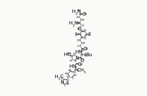 Cc1ncsc1-c1ccc([C@H](C)NC(=O)[C@@H]2C[C@@H](O)CN2C(=O)[C@@H](NC(=O)CCCc2cc(F)cc(OC[C@@H](N)CCC(N)=O)c2F)C(C)(C)C)cc1